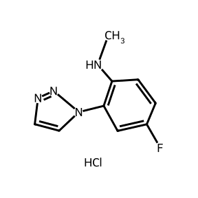 CNc1ccc(F)cc1-n1ccnn1.Cl